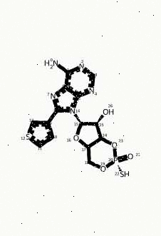 Nc1ncnc2c1nc(-c1ccsc1)n2[C@@H]1OC2CO[P@@](=O)(S)OC2[C@@H]1O